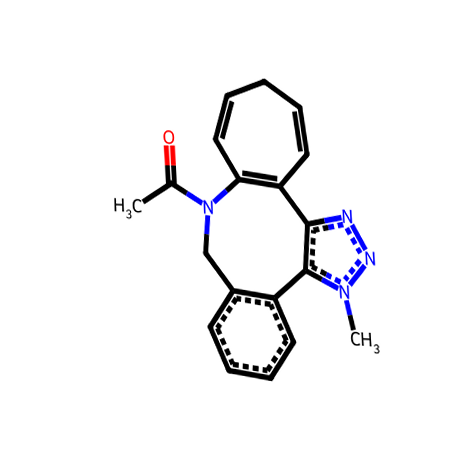 CC(=O)N1Cc2ccccc2-c2c(nnn2C)C2=C1C=CCC=C2